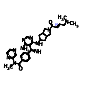 CN(C)C/C=C/C(=O)N1CC2CC(Nc3ncnc(N)c3C(=N)c3ccc(C(=O)N(C)c4cnccn4)cc3)CC2C1